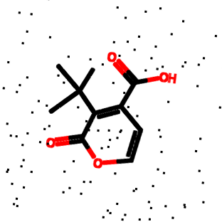 CC(C)(C)c1c(C(=O)O)ccoc1=O